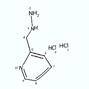 Cl.Cl.NNCc1ccccn1